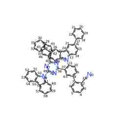 N#Cc1ccccc1-c1ccc(-n2c3ccc(-c4ccccc4)cc3c3cc(-c4ccccc4)ccc32)c(-c2nc(-c3ccccc3)nc(-n3c4ccccc4c4ccccc43)n2)c1